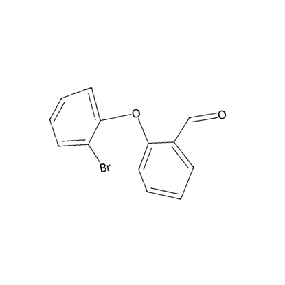 O=Cc1ccccc1Oc1ccccc1Br